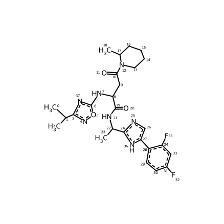 CC(C)c1noc(NC(CC(=O)N2CCCCC2C)C(=O)NC(C)c2ncc(-c3ccc(F)cc3F)[nH]2)n1